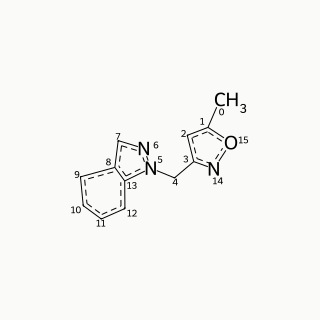 Cc1cc(Cn2ncc3ccccc32)no1